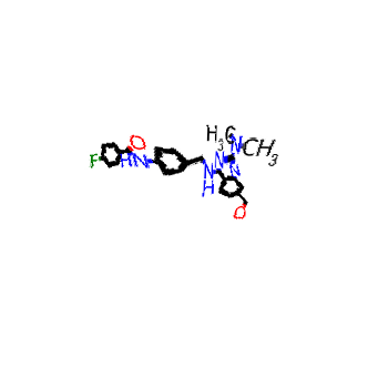 CN(C)c1nc(NCc2ccc(NC(=O)c3ccc(F)cc3)cc2)c2ccc(C=O)cc2n1